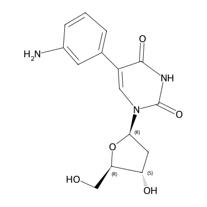 Nc1cccc(-c2cn([C@H]3C[C@H](O)[C@@H](CO)O3)c(=O)[nH]c2=O)c1